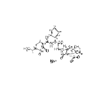 CCN1CCN(C(=O)NC(C(=O)N[C@@H]2C(=O)N3[C@@H]2SC(C)(C)[C@@H]3C(=O)[O-])c2ccccc2)C(=O)C1=O.[Na+]